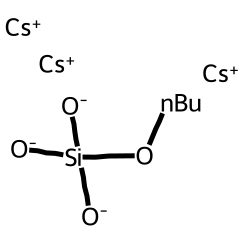 CCCCO[Si]([O-])([O-])[O-].[Cs+].[Cs+].[Cs+]